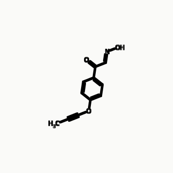 CC#COc1ccc(C(=O)C=NO)cc1